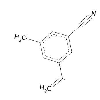 C=[C]c1cc(C)cc(C#N)c1